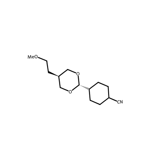 COCC[C@H]1CO[C@H](C2CCC(C#N)CC2)OC1